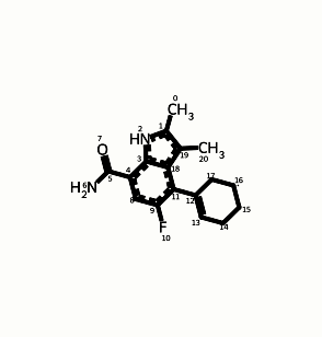 Cc1[nH]c2c(C(N)=O)cc(F)c(C3=CCC[CH]C3)c2c1C